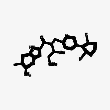 COCC(N(Cc1ccc(-c2c(F)cccc2F)cn1)C(=O)c1cc2nc(N)c(C)cc2[nH]1)C(C)(C)C